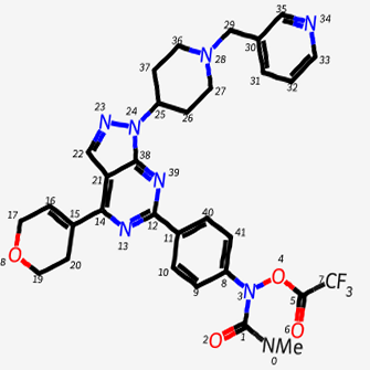 CNC(=O)N(OC(=O)C(F)(F)F)c1ccc(-c2nc(C3=CCOCC3)c3cnn(C4CCN(Cc5cccnc5)CC4)c3n2)cc1